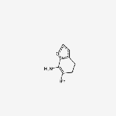 CC(C)C1=C(N)c2occc2CC1